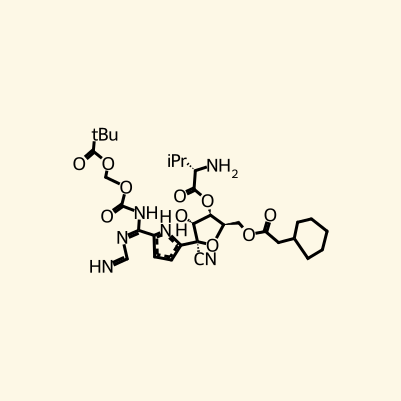 CC(C)[C@H](N)C(=O)O[C@H]1[C@@H](O)[C@](C#N)(c2ccc(/C(=N\C=N)NC(=O)OCOC(=O)C(C)(C)C)[nH]2)O[C@@H]1COC(=O)CC1CCCCC1